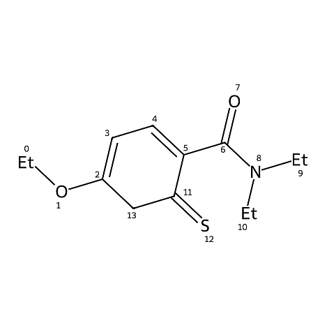 CCOC1=CC=C(C(=O)N(CC)CC)C(=S)C1